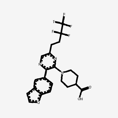 O=C(O)C1CCN(c2nc(CCC(F)(F)C(F)(F)F)cnc2-c2ccc3occc3c2)CC1